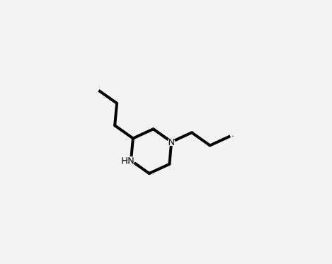 [CH2]CCN1CCNC(CCC)C1